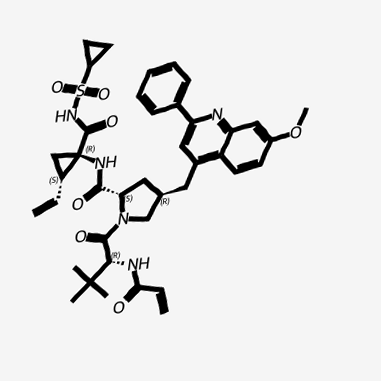 C=CC(=O)N[C@@H](C(=O)N1C[C@H](Cc2cc(-c3ccccc3)nc3cc(OC)ccc23)C[C@H]1C(=O)N[C@]1(C(=O)NS(=O)(=O)C2CC2)C[C@H]1C=C)C(C)(C)C